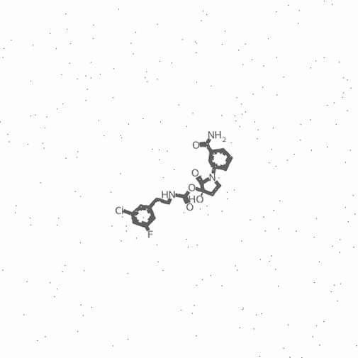 NC(=O)c1cccc(N2CC[C@@](O)(OC(=O)NCCc3cc(F)cc(Cl)c3)C2=O)c1